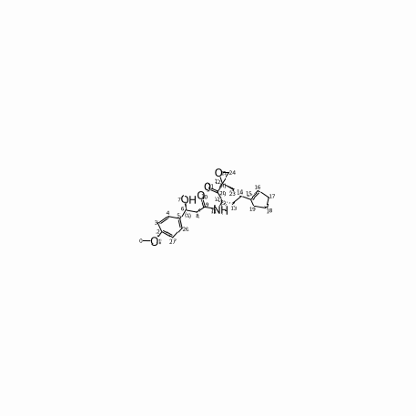 COc1ccc([C@@H](O)CC(=O)N[C@@H](CCC2=CCCC2)C(=O)[C@@]2(C)CO2)cc1